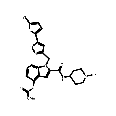 COC(=O)Oc1cccc2c1cc(C(=O)NC1CCN(C(C)C)CC1)n2Cc1cc(-c2ccc(Cl)s2)on1